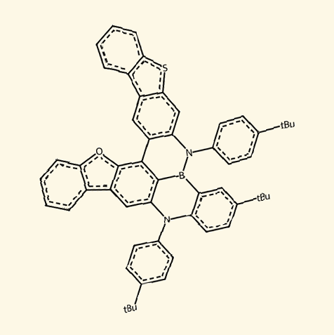 CC(C)(C)c1ccc(N2B3c4cc(C(C)(C)C)ccc4N(c4ccc(C(C)(C)C)cc4)c4cc5c(oc6ccccc65)c(c43)-c3cc4c(cc32)sc2ccccc24)cc1